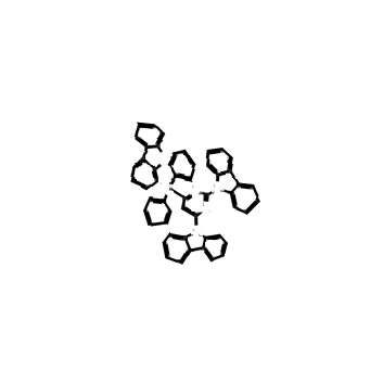 c1ccc([Si](c2ccccc2)(c2cc(-n3c4ccccc4c4ccccc43)nc(-n3c4ccccc4c4ccccc43)n2)c2cccc3c2oc2ccccc23)cc1